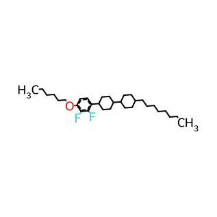 CCCCCCCCC1CCC(C2CCC(c3ccc(OCCCCCC)c(F)c3F)CC2)CC1